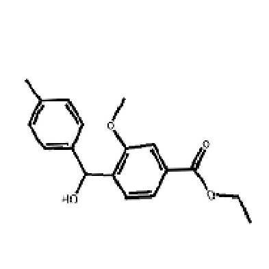 CCOC(=O)c1ccc(C(O)c2ccc(C)cc2)c(OC)c1